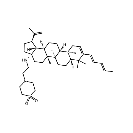 C=C(C)[C@@H]1CC[C@]2(NCCN3CCS(=O)(=O)CC3)CC[C@]3(C)[C@H](CC[C@@H]4[C@@]5(C)CC=C(C=C/C=C/C)C(C)(C)[C@@H]5CC[C@]43C)[C@@H]12